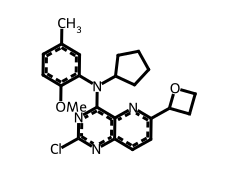 COc1ccc(C)cc1N(c1nc(Cl)nc2ccc(C3CCO3)nc12)C1CCCC1